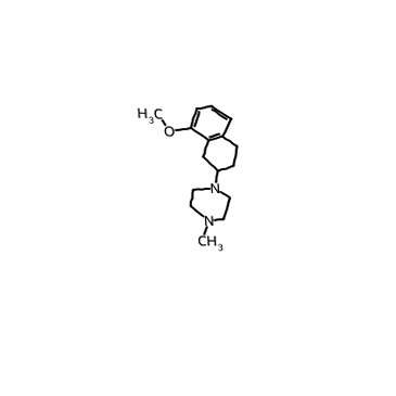 COc1cccc2c1CC(N1CCN(C)CC1)CC2